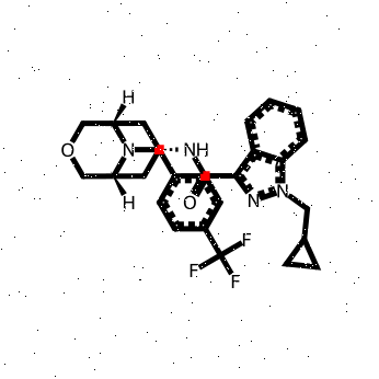 O=C(N[C@H]1C[C@H]2COC[C@@H](C1)N2Cc1ccc(C(F)(F)F)cc1)c1nn(CC2CC2)c2ccccc12